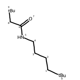 CC(C)(C)CCCCNC(=O)CC(C)(C)C